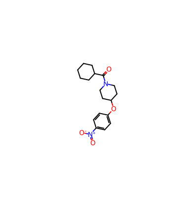 O=C(C1CCCCC1)N1CCC(Oc2ccc([N+](=O)[O-])cc2)CC1